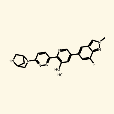 Cl.Cn1cc2cc(-c3cnc(-c4ccc(N5CC6CC5CN6)nn4)c(O)c3)cc(F)c2n1